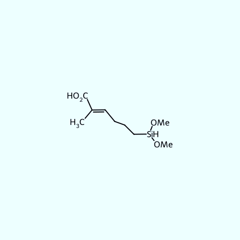 CO[SiH](CCCC=C(C)C(=O)O)OC